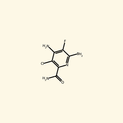 Bc1nc(C(N)=O)c(Cl)c(N)c1F